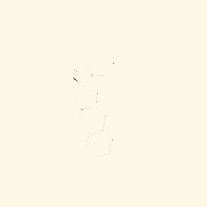 C=C[C@]1(C(=O)OC(C)(C)C)CC(=O)N([C@H](C)c2ccccc2)C1